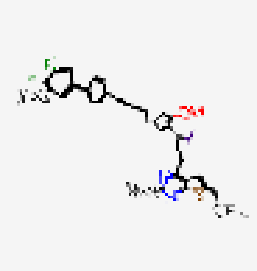 CNc1nc(CCC(I)[C@H]2C[C@@H](CCCCc3ccc(-c4cc(F)c(F)c(OC)c4)cc3)C[C@H]2O)c2cc(CC(F)(F)F)sc2n1